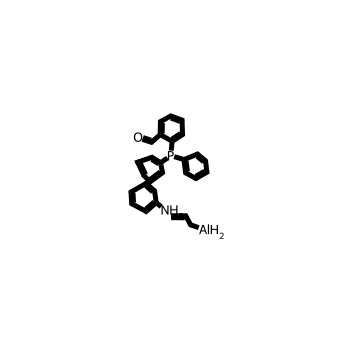 C=C[CH2][AlH2].Nc1ccccc1.O=Cc1ccccc1P(c1ccccc1)c1ccccc1